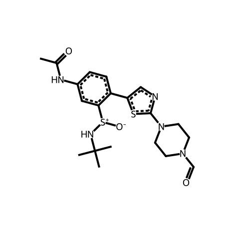 CC(=O)Nc1ccc(-c2cnc(N3CCN(C=O)CC3)s2)c([S+]([O-])NC(C)(C)C)c1